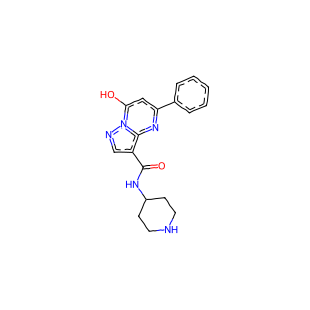 O=C(NC1CCNCC1)c1cnn2c(O)cc(-c3ccccc3)nc12